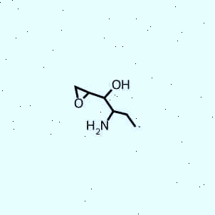 [CH2]CC(N)C(O)C1CO1